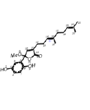 COC1(c2cc(O)ccc2O)C=C(CC/C=C(\C)CCC=C(C)C)C(=O)O1